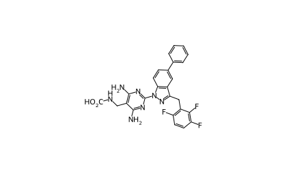 Nc1nc(-n2nc(Cc3c(F)ccc(F)c3F)c3cc(-c4ccccc4)ccc32)nc(N)c1CNC(=O)O